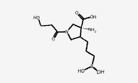 N[C@@]1(C(=O)O)CN(C(=O)CCO)CC1CCCB(O)O